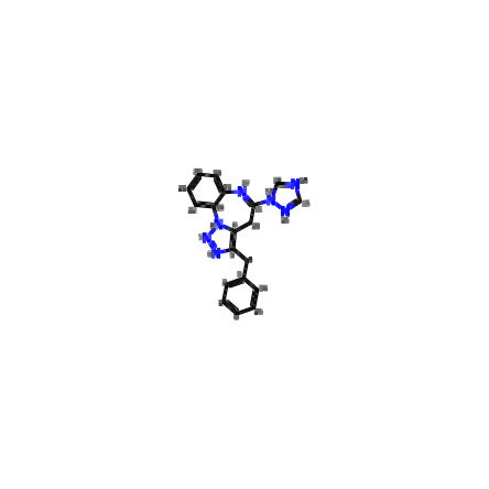 c1ccc(Cc2nnn3c2CC(n2cncn2)=Nc2ccccc2-3)cc1